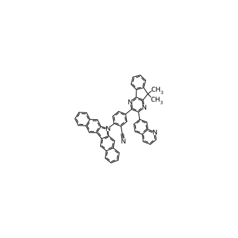 CC1(C)c2ccccc2-c2nc(-c3ccc(-n4c5cc6ccccc6cc5c5cc6ccccc6cc54)c(C#N)c3)c(-c3ccc4cccnc4c3)nc21